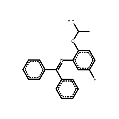 CC(Oc1ccc(F)cc1N=C(c1ccccc1)c1ccccc1)C(F)(F)F